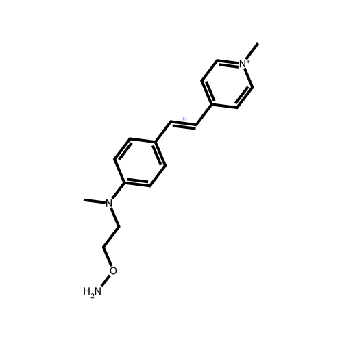 CN(CCON)c1ccc(/C=C/c2cc[n+](C)cc2)cc1